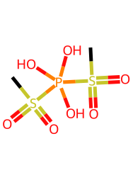 CS(=O)(=O)P(O)(O)(O)S(C)(=O)=O